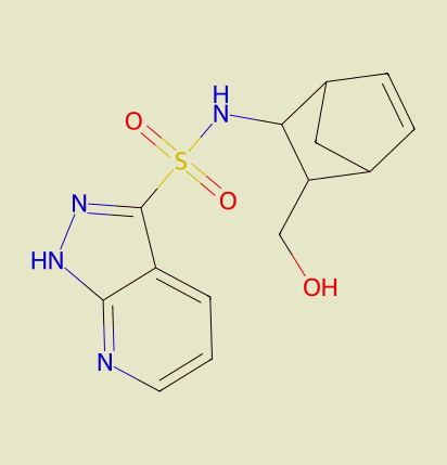 O=S(=O)(NC1C2C=CC(C2)C1CO)c1n[nH]c2ncccc12